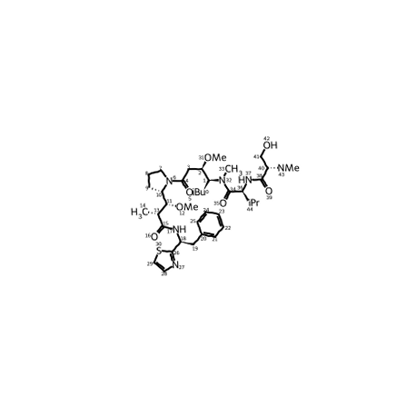 CC[C@H](C)[C@@H]([C@@H](CC(=O)N1CCC[C@H]1[C@H](OC)[C@@H](C)C(=O)N[C@@H](Cc1ccccc1)c1nccs1)OC)N(C)C(=O)[C@@H](NC(=O)[C@H](CO)NC)C(C)C